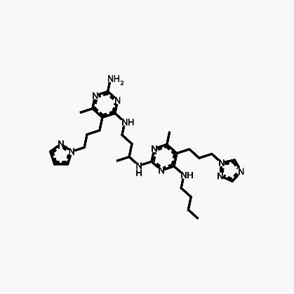 CCCCNc1nc(NC(C)CCNc2nc(N)nc(C)c2CCCn2cccn2)nc(C)c1CCCn1cncn1